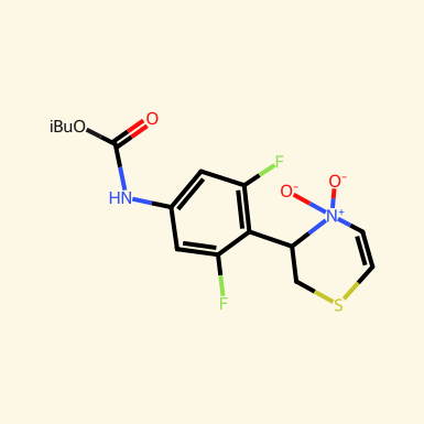 CC(C)COC(=O)Nc1cc(F)c(C2CSC=C[N+]2([O-])[O-])c(F)c1